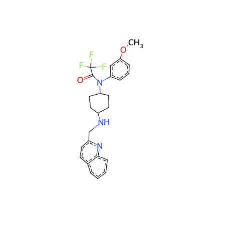 COc1cccc(N(C(=O)C(F)(F)F)C2CCC(NCc3ccc4ccccc4n3)CC2)c1